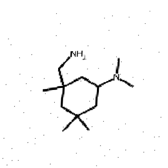 CN(C)C1CC(C)(C)CC(C)(CN)C1